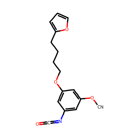 N#COc1cc(N=C=O)cc(OCCCCc2ccco2)c1